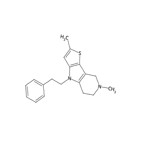 Cc1cc2c(s1)c1c(n2CCc2ccccc2)CCN(C)C1